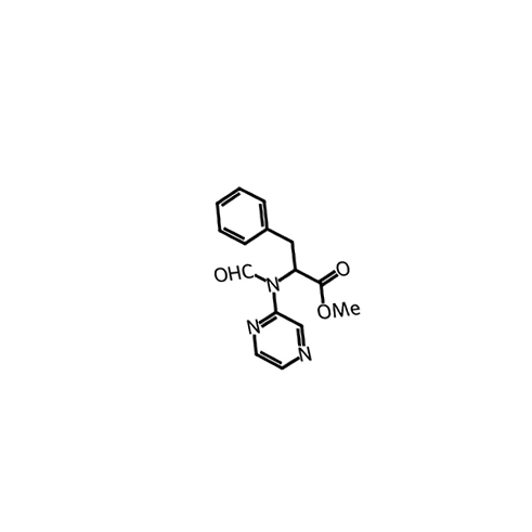 COC(=O)C(Cc1ccccc1)N(C=O)c1cnccn1